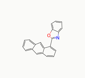 c1ccc2cc3c(-c4nc5ccccc5o4)cccc3cc2c1